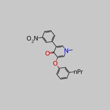 CCCc1cccc(Oc2cn(C)cc(-c3cccc([N+](=O)[O-])c3)c2=O)c1